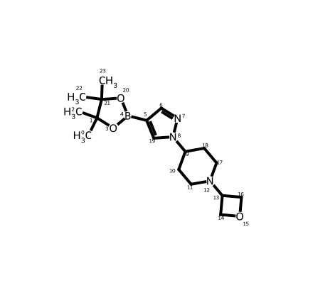 CC1(C)OB(c2cnn(C3CCN(C4COC4)CC3)c2)OC1(C)C